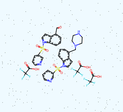 O=C(O)C(F)(F)F.O=C(O)C(F)(F)F.O=C(O)C(F)(F)F.O=Cc1cccc2c1ccn2S(=O)(=O)c1cccnc1.O=S(=O)(c1cccnc1)n1ccc2c(CN3CCNCC3)cccc21